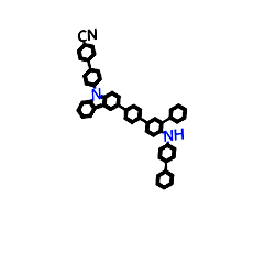 N#Cc1ccc(-c2ccc(-n3c4ccccc4c4cc(-c5ccc(-c6ccc(Nc7ccc(-c8ccccc8)cc7)c(-c7ccccc7)c6)cc5)ccc43)cc2)cc1